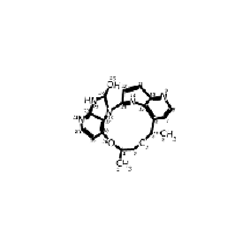 C[C@@H]1CC[C@@H](C)c2ccnc3ccc(nc23)N2c3c(ccnc3NC2O)O1